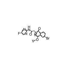 O=C(Cn1nc(OC2CC2)c2cc(Br)ccc2c1=O)Nc1ncc(F)cn1